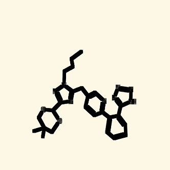 CCCCn1nc(C2OCC(C)(C)CO2)nc1Cc1ccc(-c2ccccc2-c2nnn[nH]2)nc1